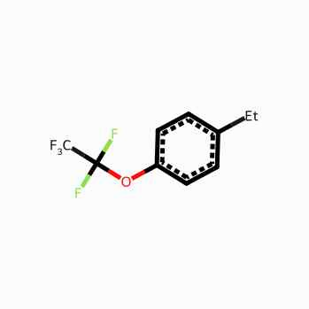 [CH2]Cc1ccc(OC(F)(F)C(F)(F)F)cc1